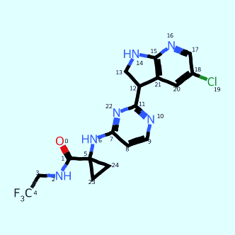 O=C(NCC(F)(F)F)C1(Nc2ccnc(C3CNc4ncc(Cl)cc43)n2)CC1